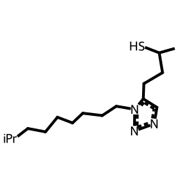 CC(C)CCCCCCCn1nncc1CCC(C)S